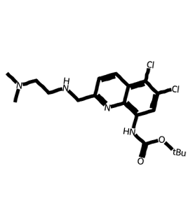 CN(C)CCNCc1ccc2c(Cl)c(Cl)cc(NC(=O)OC(C)(C)C)c2n1